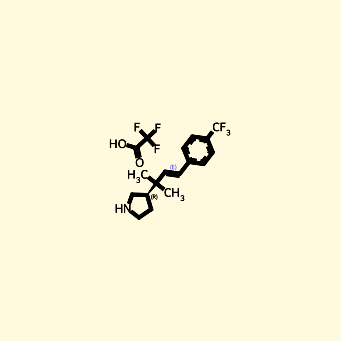 CC(C)(/C=C/c1ccc(C(F)(F)F)cc1)[C@H]1CCNC1.O=C(O)C(F)(F)F